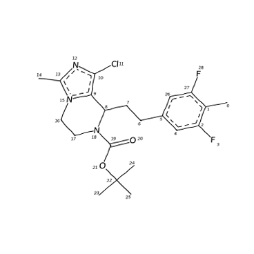 Cc1c(F)cc(CCC2c3c(Cl)nc(C)n3CCN2C(=O)OC(C)(C)C)cc1F